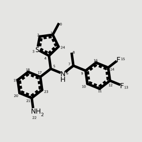 Cc1csc(C(NC(C)c2ccc(F)c(F)c2)c2cccc(N)c2)c1